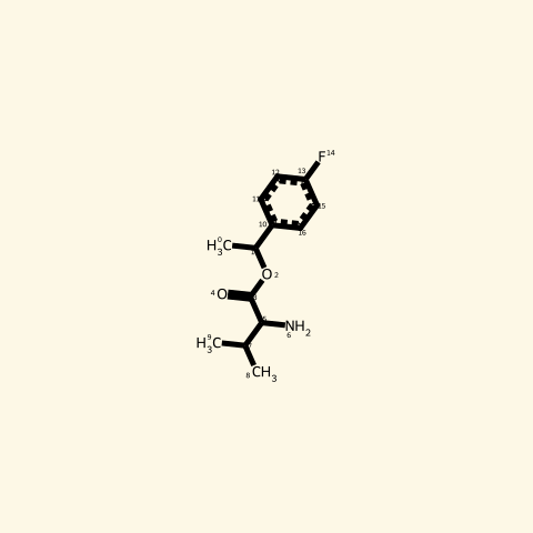 CC(OC(=O)C(N)C(C)C)c1ccc(F)cc1